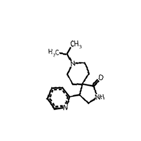 CC(C)N1CCC2(CC1)C(=O)NCC2c1ccccn1